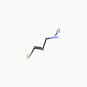 CCNCC=CCl